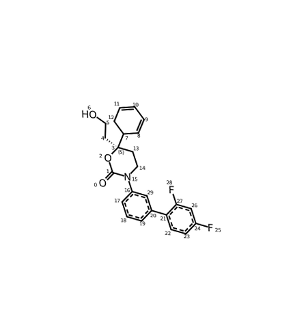 O=C1O[C@@](CCO)(C2C=CC=CC2)CCN1c1cccc(-c2ccc(F)cc2F)c1